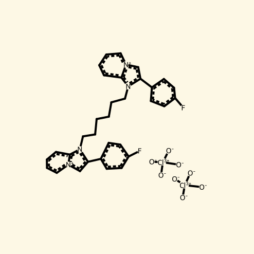 Fc1ccc(-c2c[n+]3ccccc3n2CCCCCCn2c(-c3ccc(F)cc3)c[n+]3ccccc23)cc1.[O-][Cl+3]([O-])([O-])[O-].[O-][Cl+3]([O-])([O-])[O-]